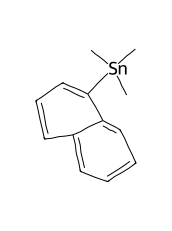 [CH3][Sn]([CH3])([CH3])[c]1cccc2ccccc12